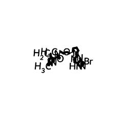 C=Cc1cn(C)nc1C(=O)N(C)CCOC[C@H]1CCCN1c1ncc2[nH]nc(Br)c2n1